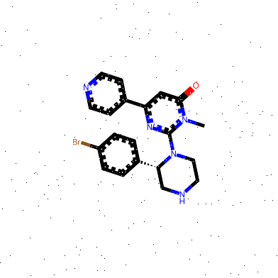 Cn1c(N2CCNC[C@@H]2c2ccc(Br)cc2)nc(-c2ccncc2)cc1=O